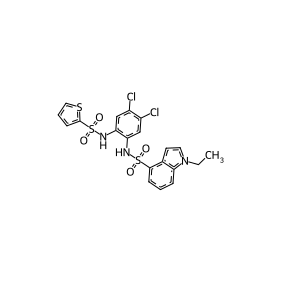 CCn1ccc2c(S(=O)(=O)Nc3cc(Cl)c(Cl)cc3NS(=O)(=O)c3cccs3)cccc21